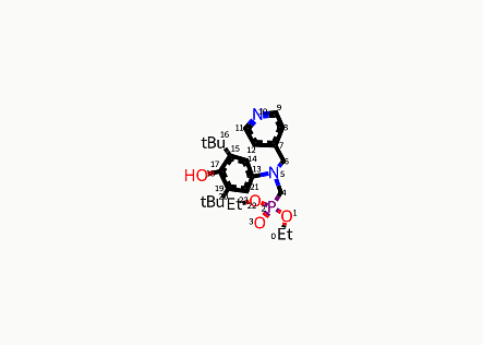 CCOP(=O)(CN(Cc1ccncc1)c1cc(C(C)(C)C)c(O)c(C(C)(C)C)c1)OCC